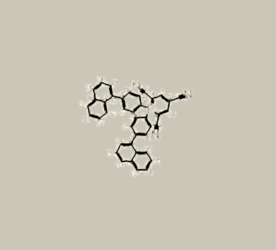 N#CC1=CC(C#N)=P(c2ccc(-c3cccc4ccccc34)cc2)(c2ccc(-c3cccc4ccccc34)cc2)C(C#N)=C1